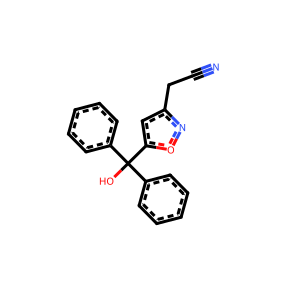 N#CCc1cc(C(O)(c2ccccc2)c2ccccc2)on1